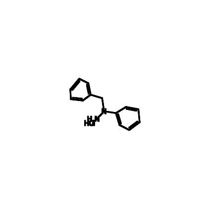 Cl.NN(Cc1ccccc1)c1ccccc1